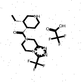 CC[C@@H]1CNCC[C@@H]1C(=O)N1CCn2c(nnc2C(F)(F)F)C1.O=C(O)C(F)(F)F